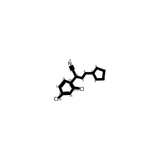 N#CC(CCC1CCCC1)c1ccc(Cl)cc1Cl